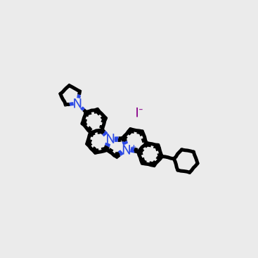 [I-].c1cc2c(ccc3n4c(ccc5cc(N6CCCC6)ccc54)c[n+]23)cc1C1CCCCC1